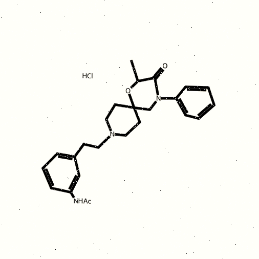 CC(=O)Nc1cccc(CCN2CCC3(CC2)CN(c2ccccc2)C(=O)C(C)O3)c1.Cl